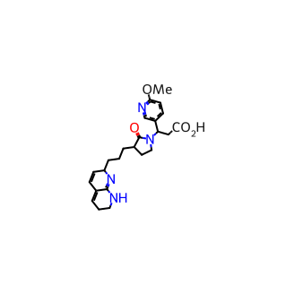 COc1ccc(C(CC(=O)O)N2CCC(CCCC3C=CC4=CCCNC4=N3)C2=O)cn1